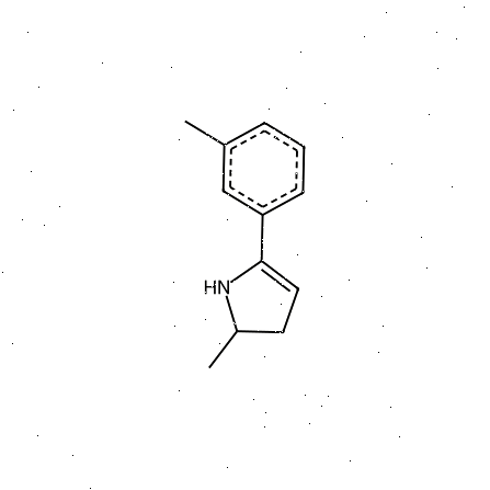 Cc1cccc(C2=CCC(C)N2)c1